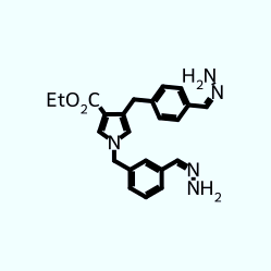 CCOC(=O)c1cn(Cc2cccc(/C=N\N)c2)cc1Cc1ccc(/C=N\N)cc1